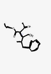 CCOC(=O)/C(C(C)=O)=C(/O)C(C)Cc1ccccc1